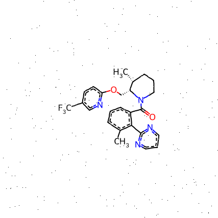 Cc1cccc(C(=O)N2CCC[C@@H](C)[C@H]2COc2ccc(C(F)(F)F)cn2)c1-c1ncccn1